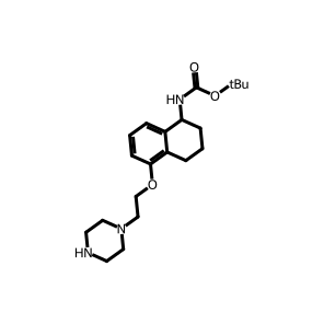 CC(C)(C)OC(=O)NC1CCCc2c(OCCN3CCNCC3)cccc21